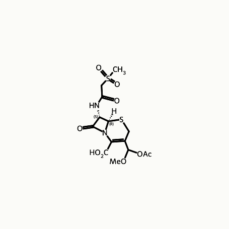 COC(OC(C)=O)C1=C(C(=O)O)N2C(=O)[C@H](NC(=O)CS(C)(=O)=O)[C@H]2SC1